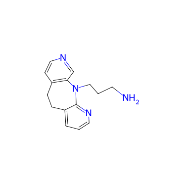 NCCCN1c2cnccc2CCc2cccnc21